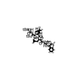 CN(C)C(=O)[C@@H](NC(=O)CNC(=O)C(=O)C(CC1CC1)NC(=O)[C@@H]1[C@@H]2[C@H](CN1C(=O)C(NC(=O)OC(C)(C)C)C(C)(C)C)C2(C)C)c1ccccc1